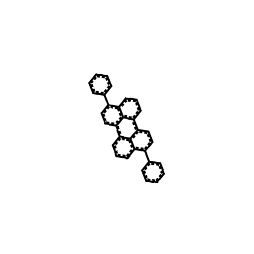 c1ccc(-c2ccc3c4cccc5c(-c6ccccc6)ccc(c6cccc2c63)c54)cc1